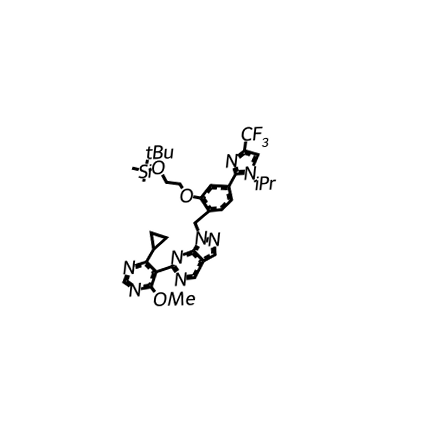 COc1ncnc(C2CC2)c1-c1ncc2cnn(Cc3ccc(-c4nc(C(F)(F)F)cn4C(C)C)cc3OCCO[Si](C)(C)C(C)(C)C)c2n1